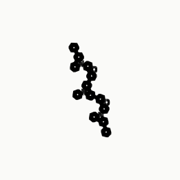 c1ccc(-c2ccc3c(c2)c2ccccc2n3-c2ccc3oc4ccc(-c5ccc6c(c5)c5cc(-c7ccc8oc9ccc(-n%10c%11ccccc%11c%11cc(-c%12ccccc%12)ccc%11%10)cc9c8c7)ccc5n6-c5ccccc5)cc4c3c2)cc1